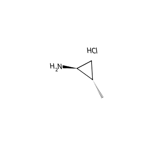 C[C@H]1C[C@@H]1N.Cl